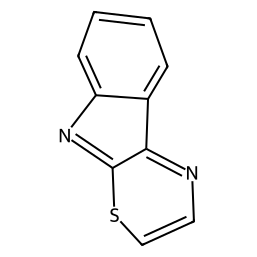 c1ccc2c3nccsc-3nc2c1